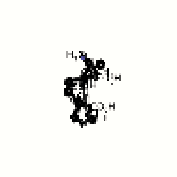 C/N=C/c1cncc(COc2cc(OCc3cccc(-c4cccc(COc5cc(OCc6cncc(C7=NC7)c6)c(CN[C@@H](C(=O)O)[C@H](C)OCc6ccccc6)cc5Cl)c4C)c3C)c(Cl)cc2CN[C@@H](C(=O)O)[C@H](C)OCc2ccccc2)c1